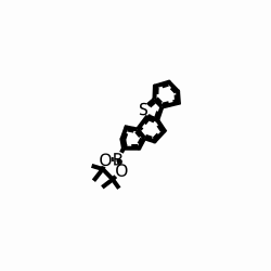 CC1(C)OB(c2ccc3c(ccc4c5ccccc5sc34)c2)OC1(C)C